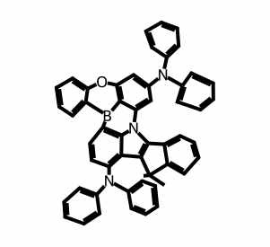 CC1(C)c2ccccc2-c2c1c1c(N(c3ccccc3)c3ccccc3)ccc3c1n2-c1cc(N(c2ccccc2)c2ccccc2)cc2c1B3c1ccccc1O2